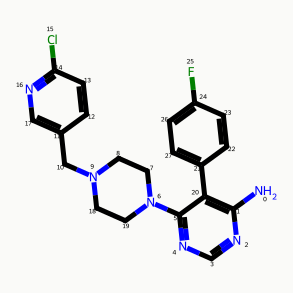 Nc1ncnc(N2CCN(Cc3ccc(Cl)nc3)CC2)c1-c1ccc(F)cc1